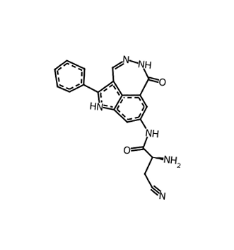 N#CC[C@H](N)C(=O)Nc1cc2c3c(c(-c4ccccc4)[nH]c3c1)C=NNC2=O